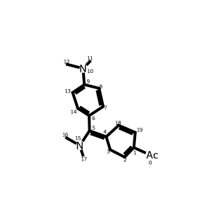 CC(=O)C1=CCC(=C(c2ccc(N(C)C)cc2)N(C)C)C=C1